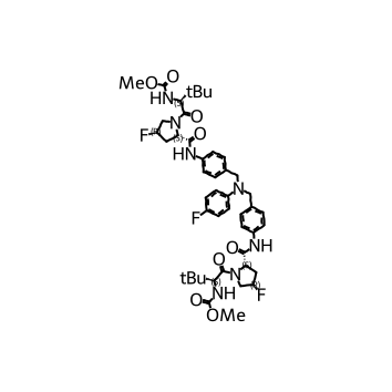 COC(=O)N[C@H](C(=O)N1C[C@H](F)C[C@H]1C(=O)Nc1ccc(CN(Cc2ccc(NC(=O)[C@@H]3C[C@@H](F)CN3C(=O)[C@@H](NC(=O)OC)C(C)(C)C)cc2)c2ccc(F)cc2)cc1)C(C)(C)C